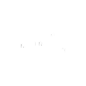 CC(C)SCC(=O)Nc1cccc2cccnc12